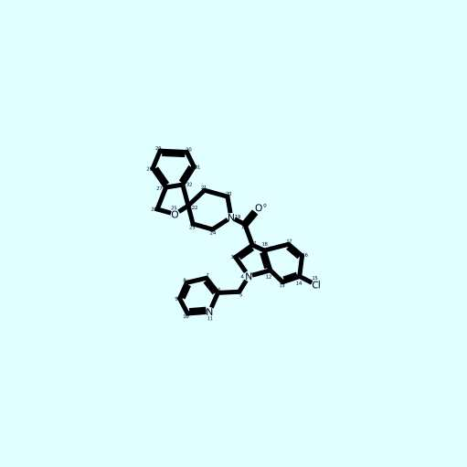 O=C(c1cn(Cc2ccccn2)c2cc(Cl)ccc12)N1CCC2(CC1)OCc1ccccc12